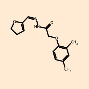 Cc1ccc(OCC(=O)N/N=C\C2=CCCO2)c(C)c1